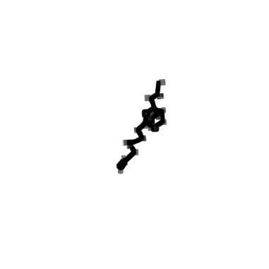 C#CCSCCC12OCC(CO1)C(CCC)O2